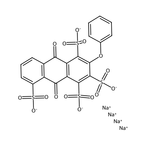 O=C1c2cccc(S(=O)(=O)[O-])c2C(=O)c2c1c(S(=O)(=O)[O-])c(Oc1ccccc1)c(S(=O)(=O)[O-])c2S(=O)(=O)[O-].[Na+].[Na+].[Na+].[Na+]